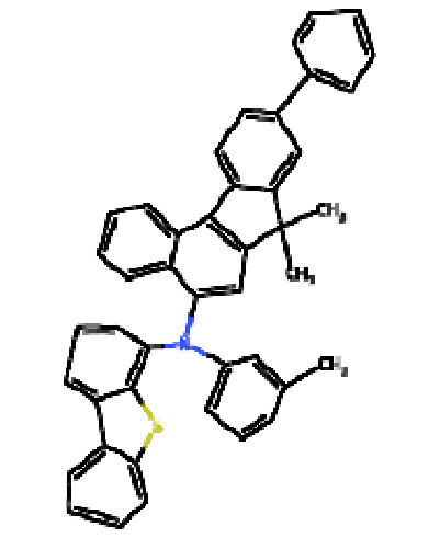 Cc1cccc(N(c2cc3c(c4ccccc24)-c2ccc(-c4ccccc4)cc2C3(C)C)c2cccc3c2sc2ccccc23)c1